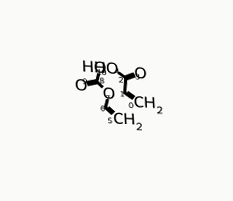 C=CC(=O)O.C=COC(=O)O